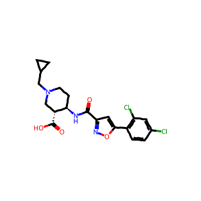 O=C(N[C@@H]1CCN(CC2CC2)C[C@H]1C(=O)O)c1cc(-c2ccc(Cl)cc2Cl)on1